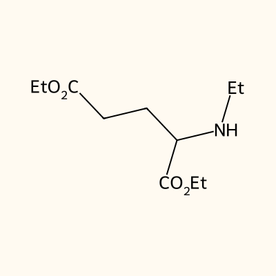 CCNC(CCC(=O)OCC)C(=O)OCC